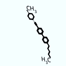 CCCCCCc1ccc(-c2ccc(C#C[C@H]3CC[C@H](CC)CC3)cc2)cc1